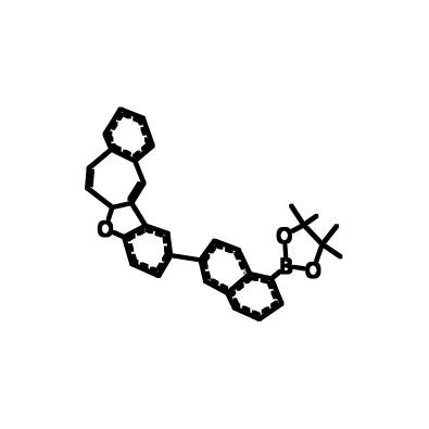 CC1(C)OB(c2cccc3cc(-c4ccc5c(c4)C4=Cc6ccccc6C=CC4O5)ccc23)OC1(C)C